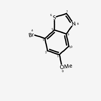 COc1cc(Br)c2scnc2c1